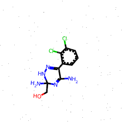 NC1=NC(N)(CO)NN=C1c1cccc(Cl)c1Cl